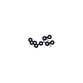 c1ccc2c(c1)ccc1c3cccc(-c4ccc(N(c5ccc6sc7ccccc7c6c5)c5cccc6c5sc5ccccc56)cc4)c3ccc21